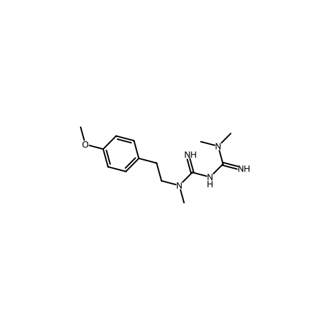 COc1ccc(CCN(C)C(=N)NC(=N)N(C)C)cc1